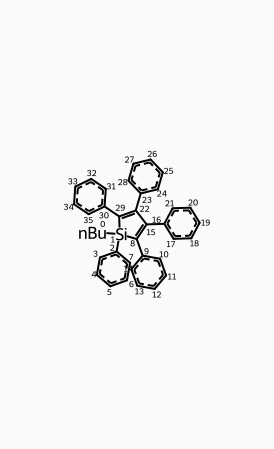 CCCC[Si]1(c2ccccc2)C(c2ccccc2)=C(c2ccccc2)C(c2ccccc2)=C1c1ccccc1